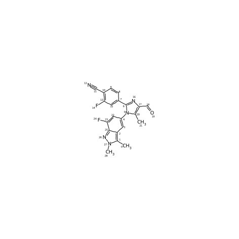 Cc1c2cc(-n3c(-c4ccc(C#N)c(F)c4)nc(C=O)c3C)cc(F)c2nn1C